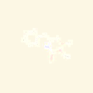 CCOCC(Cc1ccccc1)NC(=O)OC(C)(C)C